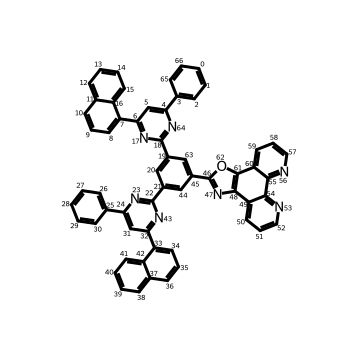 c1ccc(-c2cc(-c3cccc4ccccc34)nc(-c3cc(-c4nc(-c5ccccc5)cc(-c5cccc6ccccc56)n4)cc(-c4nc5c6cccnc6c6ncccc6c5o4)c3)n2)cc1